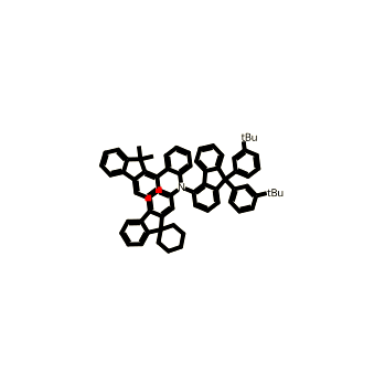 CC(C)(C)c1cccc(C2(c3cccc(C(C)(C)C)c3)c3ccccc3-c3c(N(c4ccc5c(c4)C4(CCCCC4)c4ccccc4-5)c4ccccc4-c4cccc5c4C(C)(C)c4ccccc4-5)cccc32)c1